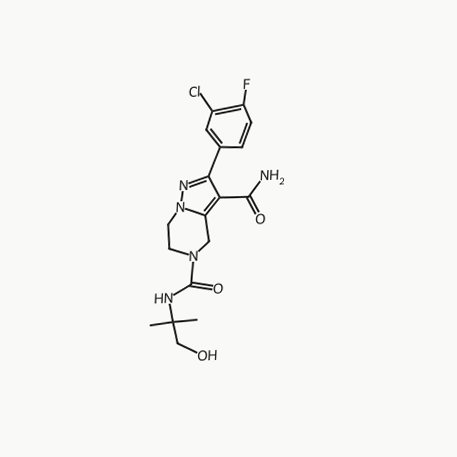 CC(C)(CO)NC(=O)N1CCn2nc(-c3ccc(F)c(Cl)c3)c(C(N)=O)c2C1